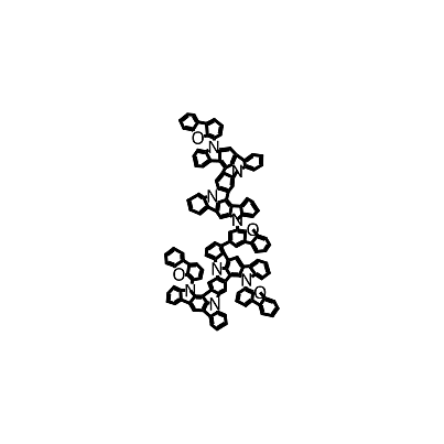 c1ccc2c(c1)oc1c(-n3c4ccccc4c4c5c6cc7c(cc6n6c8ccccc8c(cc43)c56)c3c4c5ccccc5n(-c5cc(-c6cccc8c6c6cc9c%10ccccc%10n(-c%10cccc%11c%10oc%10ccccc%10%11)c9c9c%10cc%11c(cc%10n8c69)c6c8c(cc9c%10ccccc%10n%11c96)c6ccccc6n8-c6cccc8c6oc6ccccc68)cc6c5oc5ccccc56)c4cc4c5ccccc5n7c43)cccc12